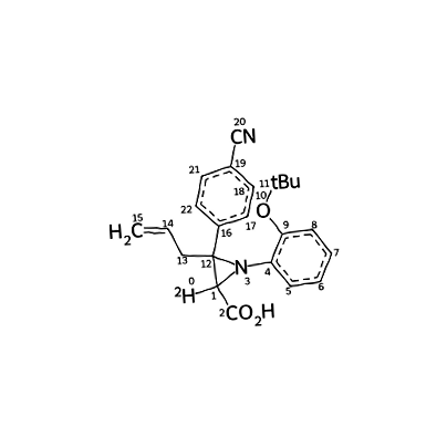 [2H]C1(C(=O)O)N(c2ccccc2OC(C)(C)C)C1(CC=C)c1ccc(C#N)cc1